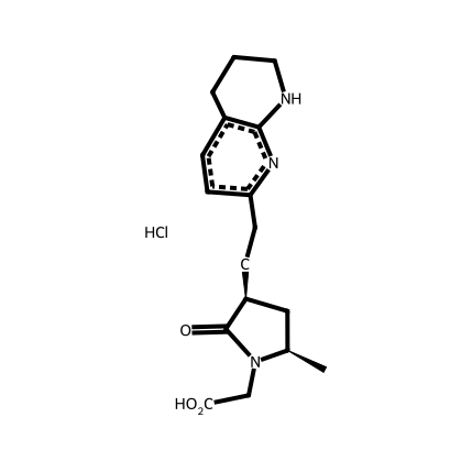 C[C@@H]1C[C@H](CCc2ccc3c(n2)NCCC3)C(=O)N1CC(=O)O.Cl